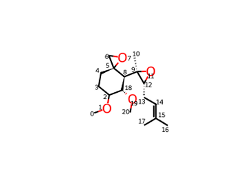 COC1CC[C@]2(CO2)[C@@H]([C@@]2(C)O[C@@H]2CC=C(C)C)[C@@H]1OC